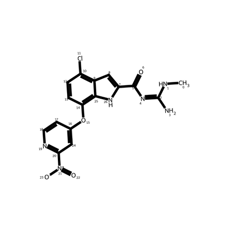 CNC(N)=NC(=O)c1cc2c(Cl)ccc(Oc3ccnc([N+](=O)[O-])c3)c2[nH]1